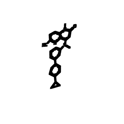 CN(c1cccc(-c2ccc(C3CC3)cc2)c1)c1cc(=O)n(C)c2ccc(C#N)nc12